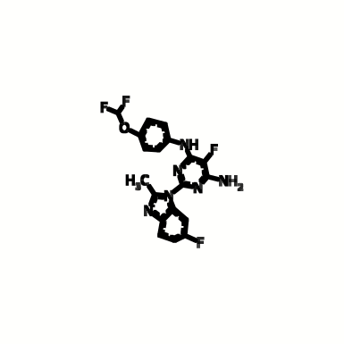 Cc1nc2ccc(F)cc2n1-c1nc(N)c(F)c(Nc2ccc(OC(F)F)cc2)n1